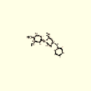 O=c1cc(Cc2ccccc2)ncn1-c1ccc(O)c(F)c1